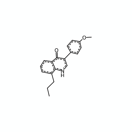 CCCc1cccc2c(=O)c(-c3ccc(OC)cc3)c[nH]c12